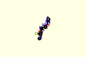 Cc1c(NC(=O)c2nc3c(n2C)CCN(C)C3)cccc1-c1cncc(-c2nc3cc(CN4CCCC4)cc(Cl)c3o2)c1C